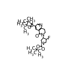 CC(C)(C)OC(=O)N1CC(F)C(N2CCc3ncc(B4OC(C)(C)C(C)(C)O4)cc3C2=O)C1